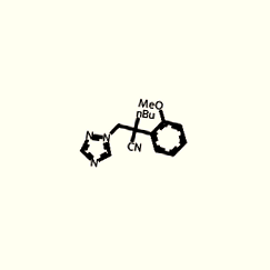 CCCCC(C#N)(Cn1cncn1)c1ccccc1OC